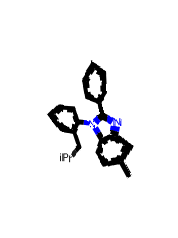 Cc1ccc2c(c1)nc(-c1ccccc1)n2-c1ccccc1CC(C)C